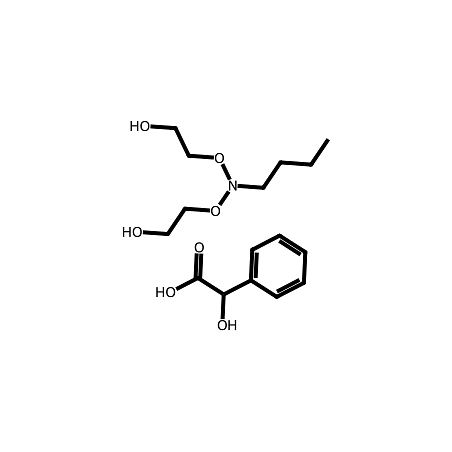 CCCCN(OCCO)OCCO.O=C(O)C(O)c1ccccc1